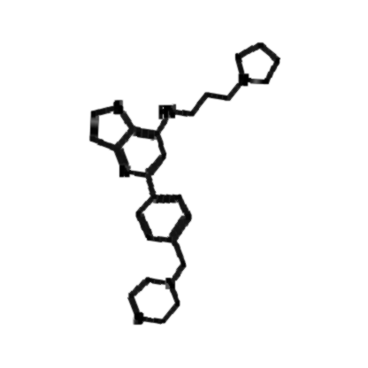 c1cc2nc(-c3ccc(CN4CCSCC4)cc3)cc(NCCCN3CCCC3)c2s1